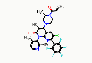 C=CC(=O)N1CCN(C2=C(C#N)C(O)N(c3c(C)ccnc3C(C)C)c3nc(-c4c(F)c(F)c(F)c(F)c4F)c(Cl)cc32)C[C@H]1C